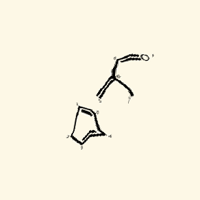 C1=CCC=C1.C=C(C)C=O